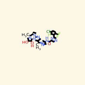 CC(c1cnc(N2CC[C@H]2[C@@H](C)N2C[C@@H](O)[C@H](O)C2)nc1)n1cc(NC(=O)c2cncc(-c3c(C(F)F)ccc(Cl)c3F)n2)cn1